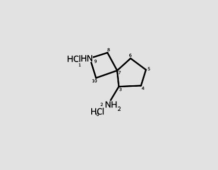 Cl.Cl.NC1CCCC12CNC2